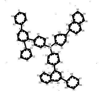 c1ccc(-c2ccc(-c3ccccc3)c(-c3ccc(N(c4ccc(-c5ccc6ccccc6c5)cc4)c4ccc(-c5cc(-c6ccccc6)cc6ccccc56)cc4)cc3)c2)cc1